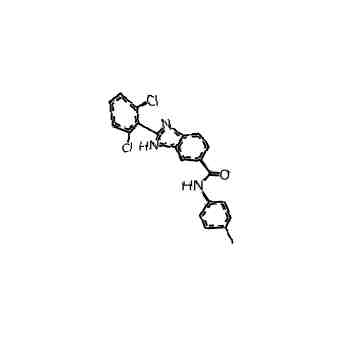 Cc1ccc(NC(=O)c2ccc3nc(-c4c(Cl)cccc4Cl)[nH]c3c2)cc1